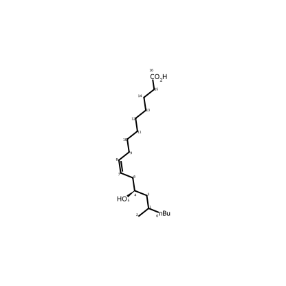 CCCCC(C)C[C@@H](O)C/C=C\CCCCCCCC(=O)O